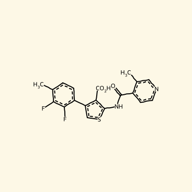 Cc1cnccc1C(=O)Nc1scc(-c2ccc(C)c(F)c2F)c1C(=O)O